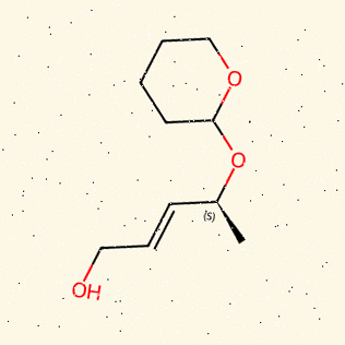 C[C@@H](C=CCO)OC1CCCCO1